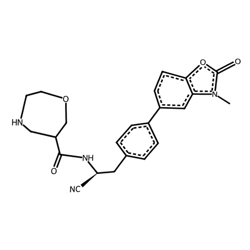 Cn1c(=O)oc2ccc(-c3ccc(C[C@@H](C#N)NC(=O)C4CNCCOC4)cc3)cc21